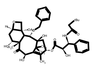 CC(=O)O[C@@]12CO[C@@H]1C[C@@H](O)[C@@]1(C)C(=O)[C@H](O)C3=C(C)[C@@H](OC(=O)[C@H](O)[C@@H](NC(=O)CC(C)(C)C)c4ccccc4)C[C@@](O)([C@@H](OCc4ccccc4)C12)C3(C)C